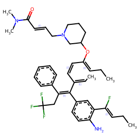 C/C=C(\C=C/C(=C/CC)OC1CCCN(C/C=C/C(=O)N(C)C)C1)C(=C(/CC(F)(F)F)c1ccccc1)/c1ccc(N)c(/C(F)=C/CC)c1